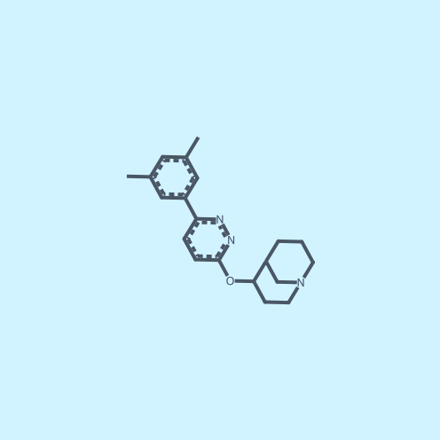 Cc1cc(C)cc(-c2ccc(OC3CCN4CCCC3C4)nn2)c1